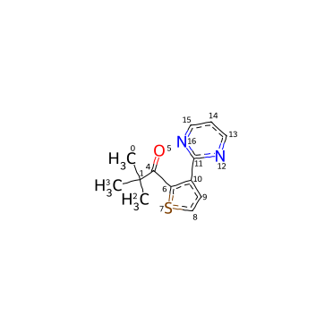 CC(C)(C)C(=O)c1sccc1-c1ncccn1